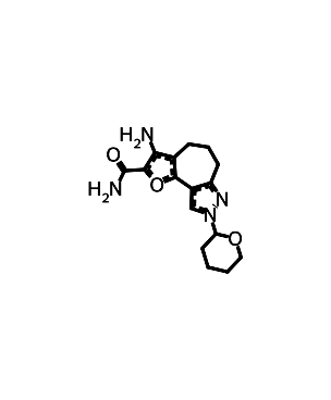 NC(=O)c1oc2c(c1N)CCCc1nn(C3CCCCO3)cc1-2